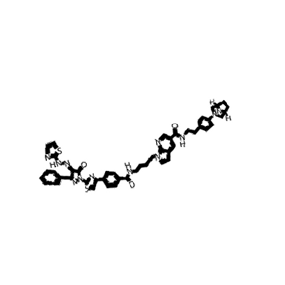 O=C(NCCCCn1ccc2cc(C(=O)NCCc3ccc(N4C[C@H]5CC[C@@H](C4)N5)cc3)cnc21)c1ccc(-c2csc(N3N=C(c4ccccc4)/C(=N\Nc4nccs4)C3=O)n2)cc1